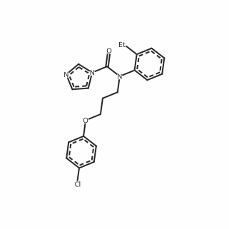 CCc1ccccc1N(CCCOc1ccc(Cl)cc1)C(=O)n1ccnc1